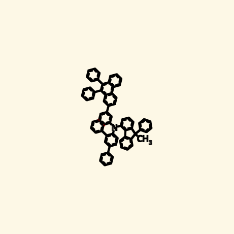 CC1(c2ccccc2)c2ccccc2-c2c(N(c3cccc(-c4ccc5c(c4)c(-c4ccccc4)c(-c4ccccc4)c4ccccc45)c3)c3ccc(-c4ccccc4)cc3-c3ccccc3)cccc21